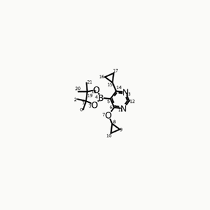 CC1(C)OB(c2c(OC3CC3)ncnc2C2CC2)OC1(C)C